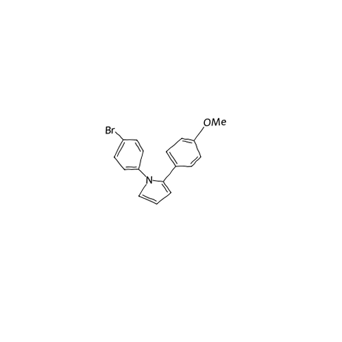 COc1ccc(-c2cccn2-c2ccc(Br)cc2)cc1